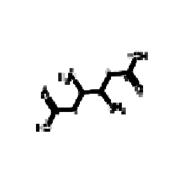 NC(CC(=O)O)C(N)CC(=O)O